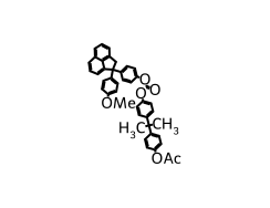 COc1ccc(C2(c3ccc(OC(=O)Oc4ccc(C(C)(C)c5ccc(OC(C)=O)cc5)cc4)cc3)Cc3cccc4cccc2c34)cc1